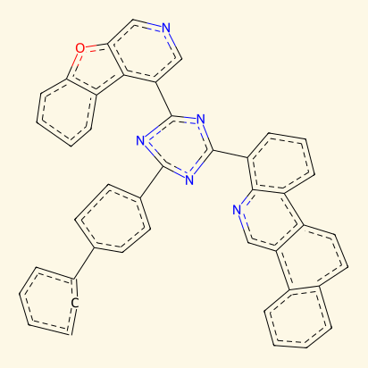 c1ccc(-c2ccc(-c3nc(-c4cccc5c4ncc4c6ccccc6ccc54)nc(-c4cncc5oc6ccccc6c45)n3)cc2)cc1